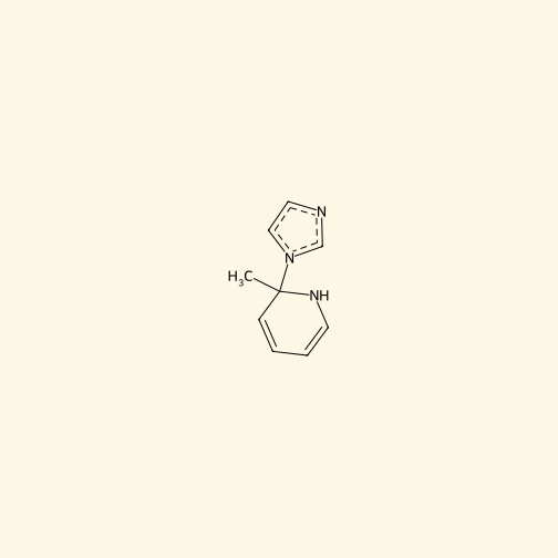 CC1(n2ccnc2)C=CC=CN1